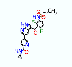 CCCS(=O)(=O)Nc1ccc(F)c(C(=O)c2c[nH]c3ncc(-c4ccc(C(=O)NC5CC5)nc4)cc23)c1F